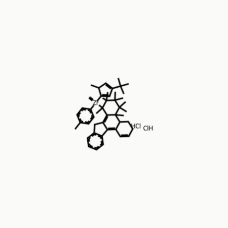 Cl.Cl.[CH2]=[Zr]([C]1=CC(C(C)(C)C)=CC1C)([c]1ccc(C)cc1)[C]1(C)C2=C3Cc4ccccc4C3=C3C=CCCC3C2(C)C(C)(C)C(C)(C)C1(C)C